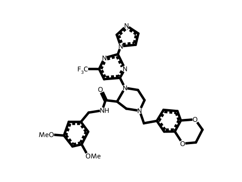 COc1cc(CNC(=O)C2CN(Cc3ccc4c(c3)OCCO4)CCN2c2cc(C(F)(F)F)nc(-n3ccnc3)n2)cc(OC)c1